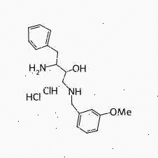 COc1cccc(CNCC(O)C(N)Cc2ccccc2)c1.Cl.Cl